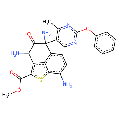 COC(=O)c1sc2c(N)ccc3c2c1C(N)C(=O)C3(N)c1cnc(Oc2ccccc2)nc1C